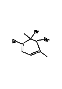 CC1=CC=C(Br)C(C)(Br)C1Br